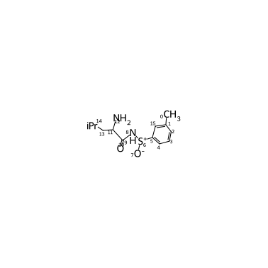 Cc1cccc([S+]([O-])NC(=O)C(N)CC(C)C)c1